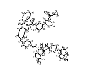 NC1(C(=O)N[C@@H](CCN2CCN(CC3CCN(C(=O)[C@H](NC(=O)c4cccc(C5CCCN(C(=O)C6CC6)C5)c4)C4CCCCC4)CC3)CC2)c2ccc(Cl)cc2)CCN(c2ncnc3[nH]ccc23)CC1